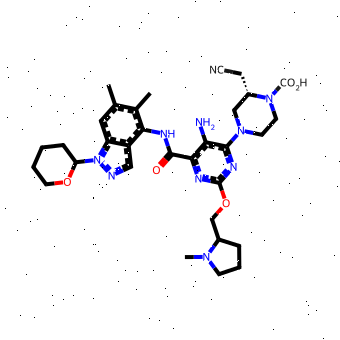 Cc1cc2c(cnn2C2CCCCO2)c(NC(=O)c2nc(OCC3CCCN3C)nc(N3CCN(C(=O)O)[C@@H](CC#N)C3)c2N)c1C